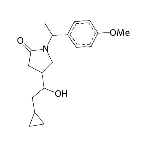 COc1ccc(C(C)N2CC(C(O)CC3CC3)CC2=O)cc1